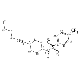 CN(C1CCC(C#CCCCI)CC1)S(=O)(=O)c1ccc(C(F)(F)F)cc1